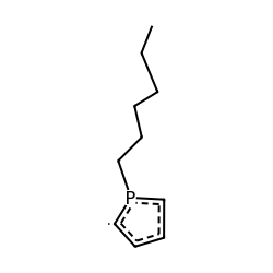 CCCCCCp1[c]ccc1